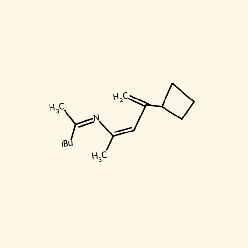 C=C(/C=C(C)\N=C(\C)C(C)CC)C1CCC1